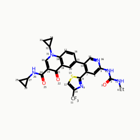 CCNC(=O)Nc1cc(-c2nc(C(F)(F)F)cs2)c(-c2ccc3c(c2)c(=O)c(C(=O)NC2CC2)cn3C2CC2)cn1